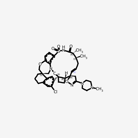 C[C@H]1C/C=C/[C@@]2(CC(N3CCN(C)CC3)=NO2)[C@@H]2CC[C@H]2CN2C[C@@]3(CCCc4cc(Cl)ccc43)COc3ccc(cc32)S(=O)(=O)NC(=O)[C@@H]1C